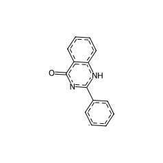 O=c1nc(-c2c[c]ccc2)[nH]c2ccccc12